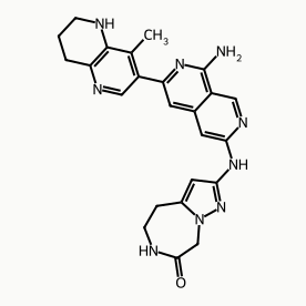 Cc1c(-c2cc3cc(Nc4cc5n(n4)CC(=O)NCC5)ncc3c(N)n2)cnc2c1NCCC2